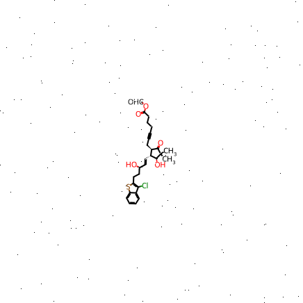 CC1(C)C(=O)[C@H](CC#CCCCC(=O)OC=O)[C@@H](/C=C/C(O)CCc2sc3ccccc3c2Cl)[C@@H]1O